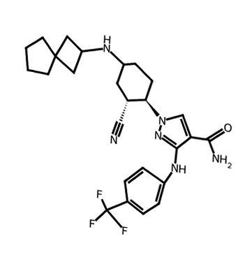 N#C[C@@H]1CC(NC2CC3(CCCC3)C2)CC[C@H]1n1cc(C(N)=O)c(Nc2ccc(C(F)(F)F)cc2)n1